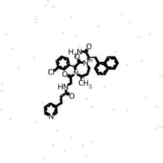 C[C@@H]1CCN([C@H](Cc2cccc3ccccc23)C(N)=O)C(=O)[C@H](c2cccc(Cl)c2)N1C(=O)CNC(=O)CCc1cccnc1